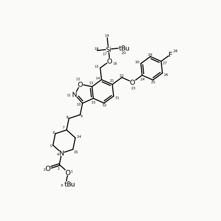 CC(C)(C)OC(=O)N1CCC(CCc2noc3c(CO[Si](C)(C)C(C)(C)C)c(COc4ccc(F)cc4)ccc23)CC1